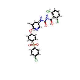 Cc1cc(NC(=O)NC(=O)c2c(F)cccc2Cl)cnc1Oc1ccc(S(=O)(=O)c2ccc(Cl)cc2)cc1